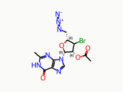 CC(=O)O[C@H]1C(Br)[C@@H](CN=[N+]=[N-])O[C@H]1n1cnc2c(=O)[nH]c(C)nc21